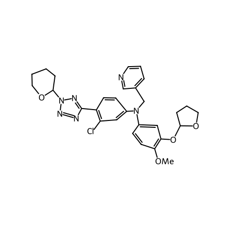 COc1ccc(N(Cc2cccnc2)c2ccc(-c3nnn(C4CCCCO4)n3)c(Cl)c2)cc1OC1CCCO1